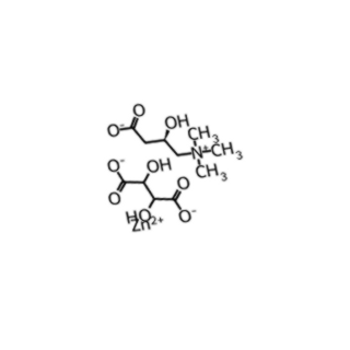 C[N+](C)(C)C[C@H](O)CC(=O)[O-].O=C([O-])C(O)C(O)C(=O)[O-].[Zn+2]